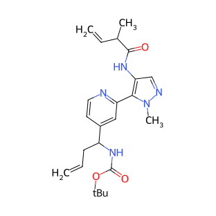 C=CCC(NC(=O)OC(C)(C)C)c1ccnc(-c2c(NC(=O)C(C)C=C)cnn2C)c1